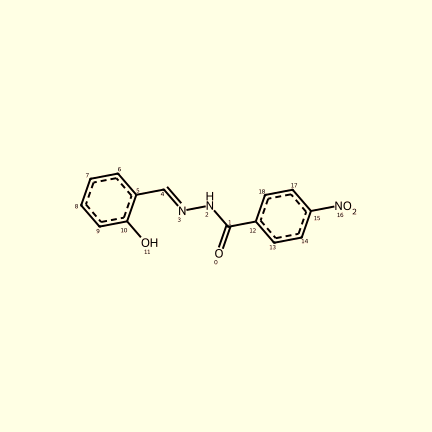 O=C(NN=Cc1ccccc1O)c1ccc([N+](=O)[O-])cc1